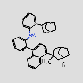 CC1(c2ccc(-c3ccccc3Nc3ccccc3C3CC4CCC3C4)c3ccccc23)CC2CC[C@H](C2)C1